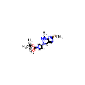 CNc1nc(SC)ncc1CNC1CCN(C(=O)OC(C)(C)C)C1